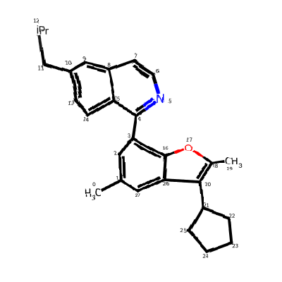 Cc1cc(-c2nccc3cc(CC(C)C)ccc23)c2oc(C)c(C3CCCC3)c2c1